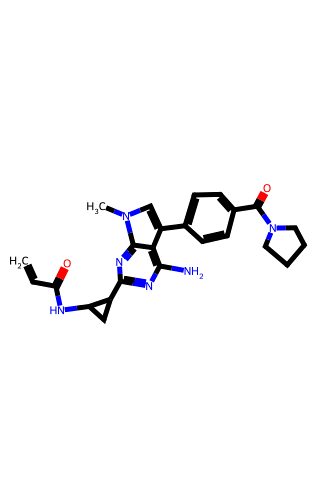 C=CC(=O)NC1CC1c1nc(N)c2c(-c3ccc(C(=O)N4CCCC4)cc3)cn(C)c2n1